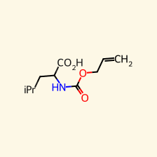 C=CCOC(=O)NC(CC(C)C)C(=O)O